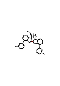 CC[CH]=[Hf]([CH3])([CH3])([CH3])([CH]1C=Cc2c(-c3cccc(C)c3)cccc21)[CH]1C=Cc2c(-c3cccc(C)c3)cccc21